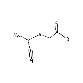 CC(C#N)SCC([O])=O